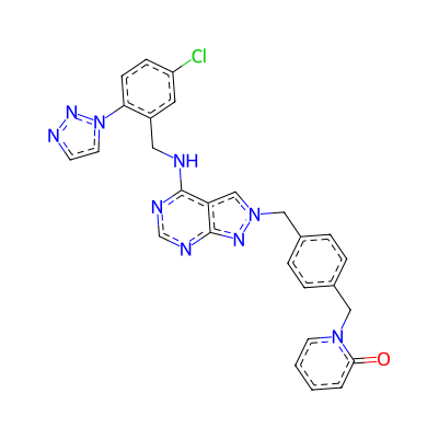 O=c1ccccn1Cc1ccc(Cn2cc3c(NCc4cc(Cl)ccc4-n4ccnn4)ncnc3n2)cc1